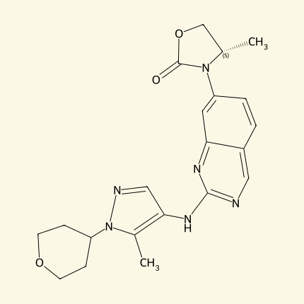 Cc1c(Nc2ncc3ccc(N4C(=O)OC[C@@H]4C)cc3n2)cnn1C1CCOCC1